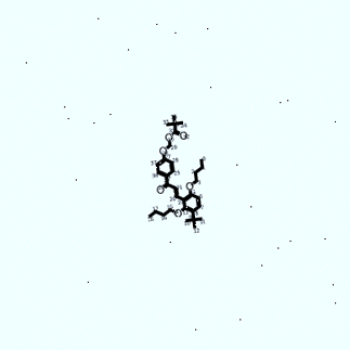 CCCCOc1ccc(C(C)(C)C)c(OCCCC)c1C=CC(=O)c1ccc(OCOC(=O)C(C)(C)C)cc1